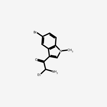 CCC(N)C(=O)c1cn(C)c2ccc(Br)cc12